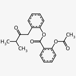 CC(=O)Oc1ccccc1C(=O)Oc1ccccc1CC(=O)C(C)C